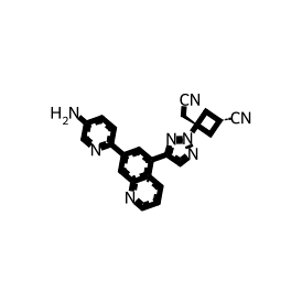 N#CC[C@]1(n2ncc(-c3cc(-c4ccc(N)cn4)cc4ncccc34)n2)C[C@@H](C#N)C1